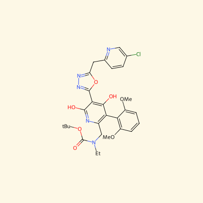 CCN(Cc1nc(O)c(-c2nnc(Cc3ccc(Cl)cn3)o2)c(O)c1-c1c(OC)cccc1OC)C(=O)OC(C)(C)C